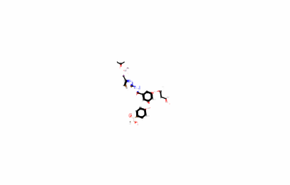 CC(C)OP(C)(=O)Cc1csc(NC(=O)c2cc(Oc3ccc(S(C)(=O)=O)cc3)cc(O[C@@H](C)CCO)c2)n1